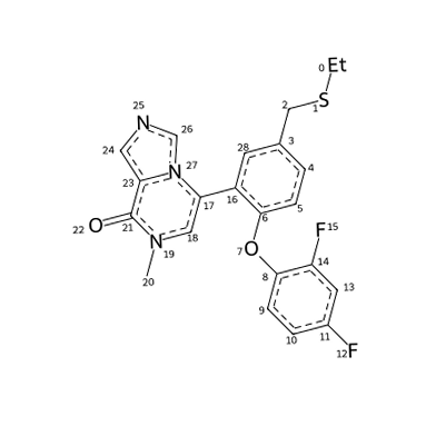 CCSCc1ccc(Oc2ccc(F)cc2F)c(-c2cn(C)c(=O)c3cncn23)c1